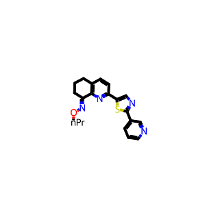 CCCO/N=C1\CCCc2ccc(-c3cnc(-c4cccnc4)s3)nc21